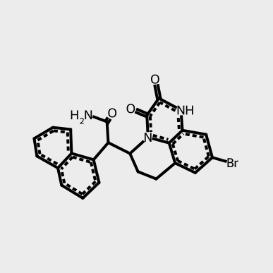 NC(=O)C(c1cccc2ccccc12)C1CCc2cc(Br)cc3[nH]c(=O)c(=O)n1c23